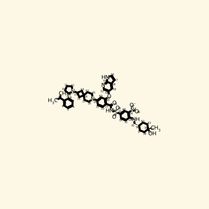 CC(C)c1ccccc1[C@@H]1CCCN1C1CC2(CCN(c3ccc(C(=O)NS(=O)(=O)c4ccc(NC[C@H]5CC[C@@](C)(O)CC5)c([N+](=O)[O-])c4)c(Oc4cnc5[nH]ccc5c4)c3)CC2)C1